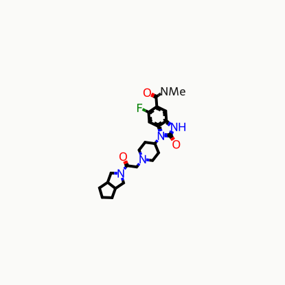 CNC(=O)c1cc2[nH]c(=O)n(C3CCN(CC(=O)N4CC5CCCC5C4)CC3)c2cc1F